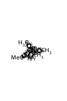 CCCN1C=C(C)C(N(S(=O)(=O)c2ccc(C)cc2)S(=O)(=O)c2ccc(C)cc2)C2=C1N1CN(OC)C=C1C=N2